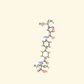 CC(C)c1cc(C(=O)Nc2ccc(C3CCC(C(=O)NC(C)(C)C(=O)O)CC3)cc2)on1